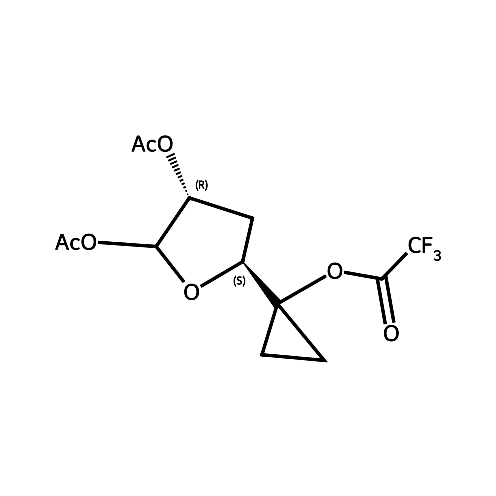 CC(=O)OC1O[C@H](C2(OC(=O)C(F)(F)F)CC2)C[C@H]1OC(C)=O